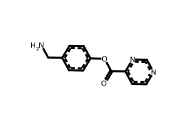 NCc1ccc(OC(=O)c2ccncn2)cc1